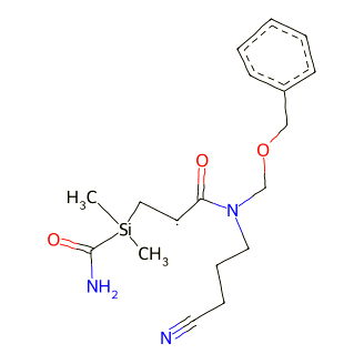 C[Si](C)(C[CH]C(=O)N(CCCC#N)COCc1ccccc1)C(N)=O